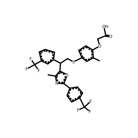 Cc1cc(SCC(c2cccc(C(F)(F)F)c2)c2sc(-c3ccc(C(F)(F)F)cc3)nc2C)ccc1OCC(=O)O